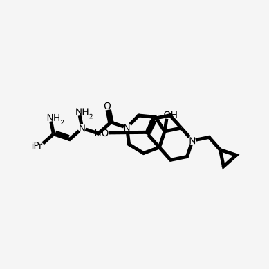 CC(C)/C(N)=C/N(N)CC(=O)N1CCC23CCN(CC4CC4)C(Cc4ccc(O)cc42)C3(O)CC1